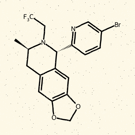 C[C@@H]1Cc2cc3c(cc2[C@@H](c2ccc(Br)cn2)N1CC(F)(F)F)OCO3